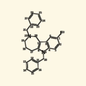 Fc1ccc2c(c1)c1c(n2Cc2ccccc2)CCCN(Cc2ccccc2)C1